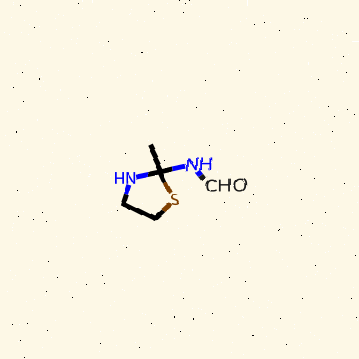 CC1(NC=O)NCCS1